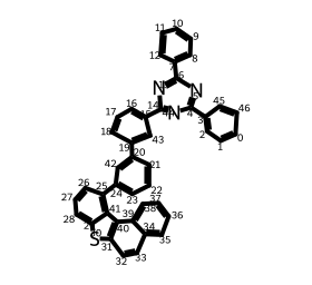 c1ccc(-c2nc(-c3ccccc3)nc(-c3cccc(-c4cccc(-c5cccc6sc7ccc8ccccc8c7c56)c4)c3)n2)cc1